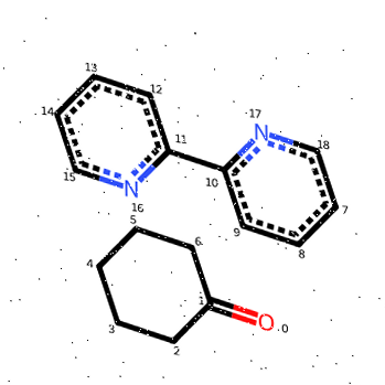 O=C1CCCCC1.c1ccc(-c2ccccn2)nc1